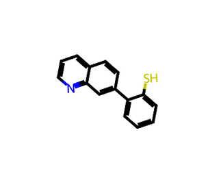 Sc1ccccc1-c1ccc2cccnc2c1